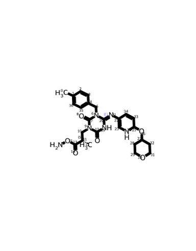 Cc1ccc(Cn2c(=O)n(C[C@H](C)C(=O)ON)c(=O)[nH]/c2=N\C2=CNC(OC3CCOCC3)C=C2)cc1